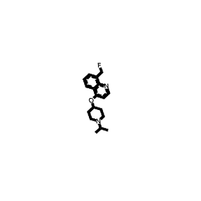 CC(C)N1CCC(Oc2ccnc3c(CF)cccc23)CC1